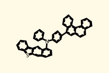 c1ccc(N(c2ccc(-c3cc4ccc5ccccc5c4c4ccccc34)cc2)c2cccc3cc4sc5ccccc5c4cc23)cc1